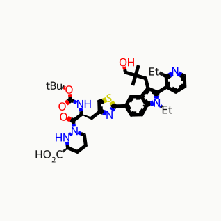 CCc1ncccc1-c1c(CC(C)(C)CO)c2cc(-c3nc(C[C@H](NC(=O)OC(C)(C)C)C(=O)N4CCC[C@@H](C(=O)O)N4)cs3)ccc2n1CC